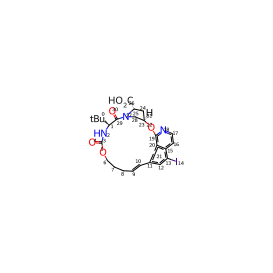 CC(C)(C)[C@@H]1NC(=O)OCCC/C=C/c2cc(I)c3ccnc(c3c2)O[C@@H]2C[C@@H](C(=O)O)N(C2)C1=O